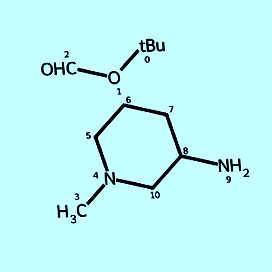 CC(C)(C)OC=O.CN1CCCC(N)C1